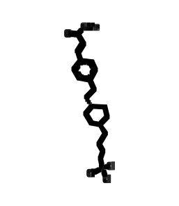 COC(=O)/C=C/c1ccc(CC[C@H]2CC[C@H](CCCC[Si](Cl)(Cl)Cl)CC2)cc1